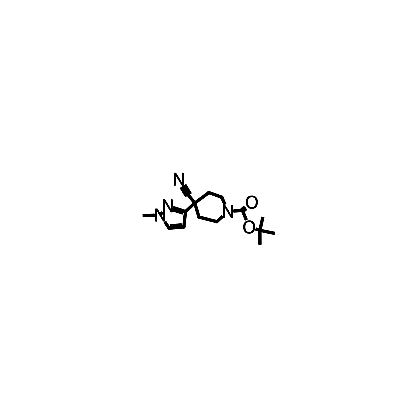 Cn1ccc(C2(C#N)CCN(C(=O)OC(C)(C)C)CC2)n1